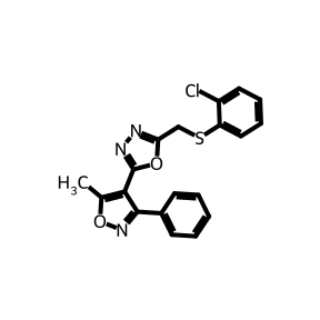 Cc1onc(-c2ccccc2)c1-c1nnc(CSc2ccccc2Cl)o1